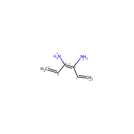 C=C/C(N)=C(/N)C=C